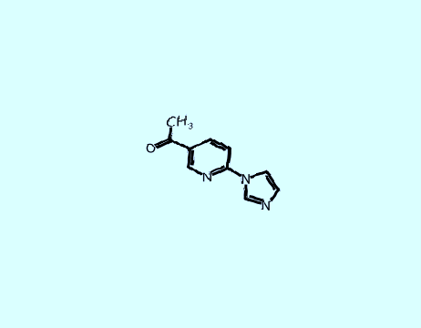 CC(=O)c1ccc(-n2ccnc2)nc1